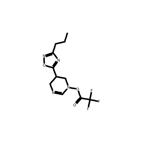 CCCc1noc(C2CN=CN(OC(=O)C(F)(F)F)C2)n1